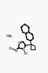 Br.CCN=c1scc(C2(c3ccc4ccccc4c3)CCC2)n1CC